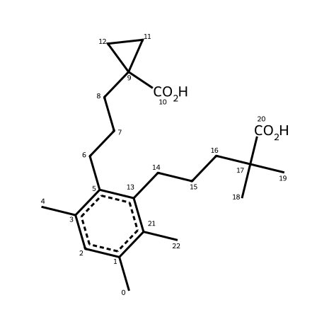 Cc1cc(C)c(CCCC2(C(=O)O)CC2)c(CCCC(C)(C)C(=O)O)c1C